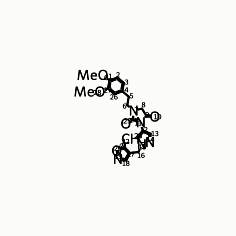 COc1ccc(CCN2CC(=O)N(c3cnn(Cc4cnoc4C)c3)C2=O)cc1OC